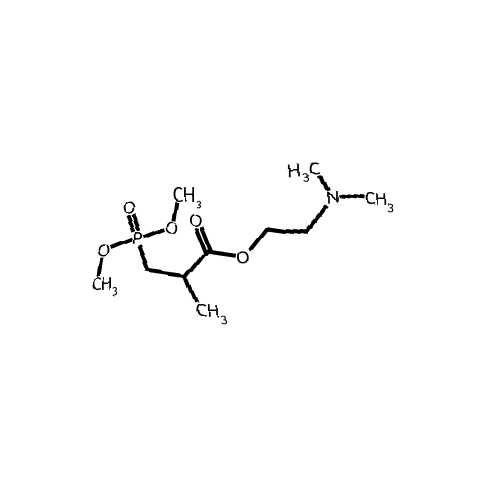 COP(=O)(CC(C)C(=O)OCCN(C)C)OC